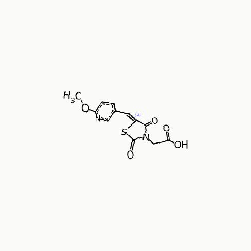 COc1ccc(/C=C2\SC(=O)N(CC(=O)O)C2=O)cn1